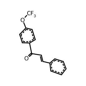 O=C(C=Cc1ccccc1)c1ccc(OC(F)(F)F)cc1